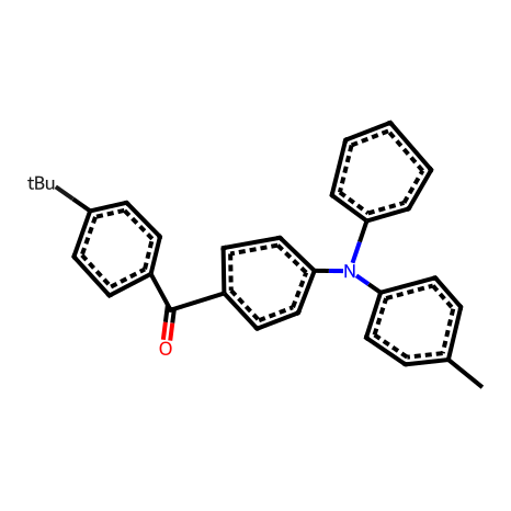 Cc1ccc(N(c2ccccc2)c2ccc(C(=O)c3ccc(C(C)(C)C)cc3)cc2)cc1